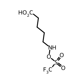 O=C(O)CCCCNOS(=O)(=O)C(F)(F)F